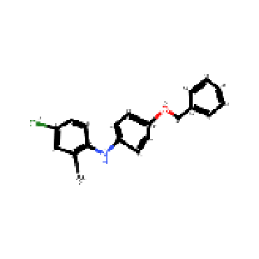 CC(=O)c1cc(Cl)ccc1Nc1ccc(OCc2ccccc2)cc1